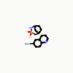 COc1ccc2ncccc2c1.O=S1(=O)Cc2ccc(cc2)N1